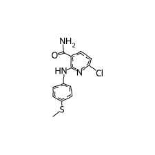 CSc1ccc(Nc2nc(Cl)ccc2C(N)=O)cc1